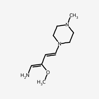 COC(=C\N)/C=C/N1CCN(C)CC1